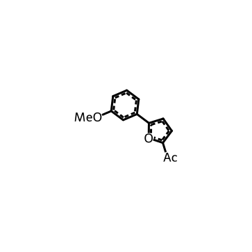 COc1cccc(-c2ccc(C(C)=O)o2)c1